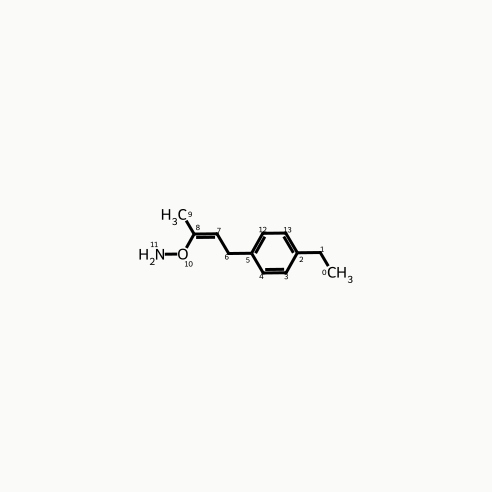 CCc1ccc(C/C=C(/C)ON)cc1